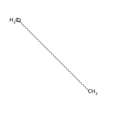 CCCCCCCCCCCCCCCCCCCCCCCCCCCCCCCCCCCCCCCCCCCCCCCCCCCCCCCCCCCCCCCCCCOC